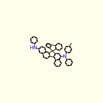 Cc1ccc(N(c2ccccc2)c2cc3c(c4ccccc24)-c2ccc4cc(Nc5ccccc5)ccc4c2C32c3ccccc3-c3ccccc32)cc1